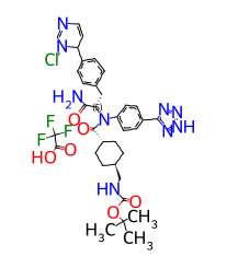 CC(C)(C)OC(=O)NC[C@H]1CC[C@H](C(=O)N(c2ccc(-c3nn[nH]n3)cc2)[C@@H](Cc2ccc(C3C=CN=CN3Cl)cc2)C(N)=O)CC1.O=C(O)C(F)(F)F